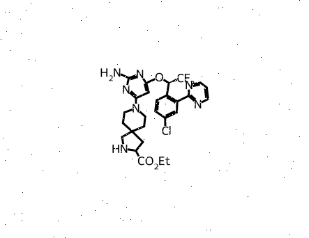 CCOC(=O)C1CC2(CCN(c3cc(O[C@H](c4ccc(Cl)cc4-c4ncccn4)C(F)(F)F)nc(N)n3)CC2)CN1